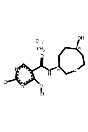 CCOc1nc(Cl)ncc1C(=O)N[C@@H]1[CH]CCC[C@H](O)CC1.[CH2].[CH2]